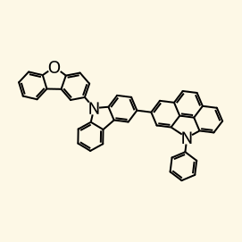 c1ccc(-n2c3cccc4ccc5cc(-c6ccc7c(c6)c6ccccc6n7-c6ccc7oc8ccccc8c7c6)cc2c5c43)cc1